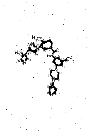 Cc1ccc(C(=O)Nc2cc(N3CCN(c4ccncc4)CC3)cc(C(F)(F)F)c2)cc1-n1cc(-c2cn[nH]c2C)nn1